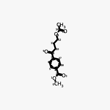 COC(=O)c1ccc(C(=O)CCCOC(C)=O)cc1